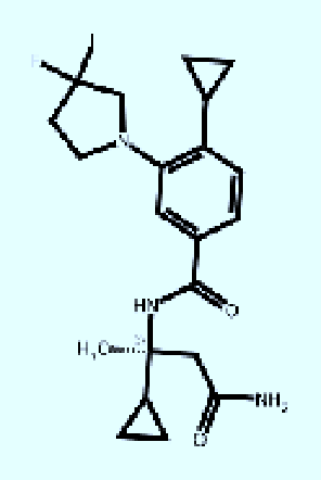 C[C@@](CC(N)=O)(NC(=O)c1ccc(C2CC2)c(N2CCC(F)(F)C2)c1)C1CC1